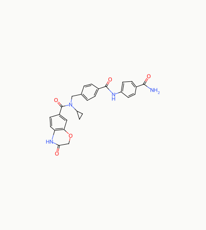 NC(=O)c1ccc(NC(=O)c2ccc(CN(C(=O)c3ccc4c(c3)OCC(=O)N4)C3CC3)cc2)cc1